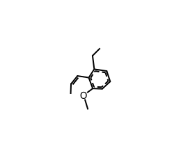 C/C=C\c1c(CC)cccc1OC